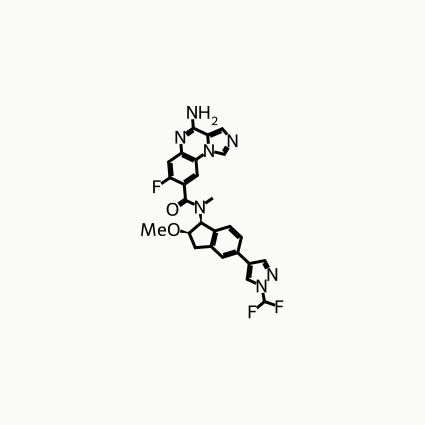 CO[C@@H]1Cc2cc(-c3cnn(C(F)F)c3)ccc2[C@@H]1N(C)C(=O)c1cc2c(cc1F)nc(N)c1cncn12